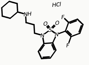 Cl.O=S1(=O)N(CCCNC2CCCCC2)c2ccccc2N1c1c(F)cccc1F